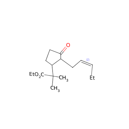 CC/C=C\CC1C(=O)CCC1C(C)(C)C(=O)OCC